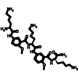 COc1ccc(NC(=O)[C@H](CCCCN)NC(=O)c2cc(NC(=O)[C@@H](N)CCCCN)ccc2OC)cc1C(=O)N[C@@H](CCCCN)C(N)=O